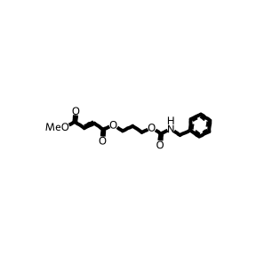 COC(=O)/C=C/C(=O)OCCCOC(=O)NCc1ccccc1